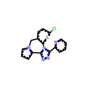 Clc1ccc2c(c1)-n1c(-c3ccccn3)nnc1-c1cccn1C2